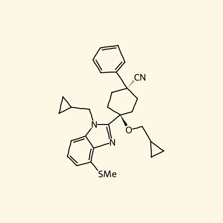 CSc1cccc2c1nc([C@]1(OCC3CC3)CC[C@@](C#N)(c3ccccc3)CC1)n2CC1CC1